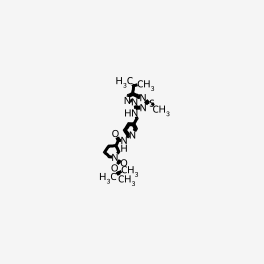 CSc1nc(NCc2ccc(NC(=O)C3CCCN(C(=O)OC(C)(C)C)C3)nc2)n2ncc(C(C)C)c2n1